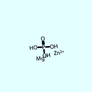 O=P(O)(O)O.[Mg+2].[Zn+2]